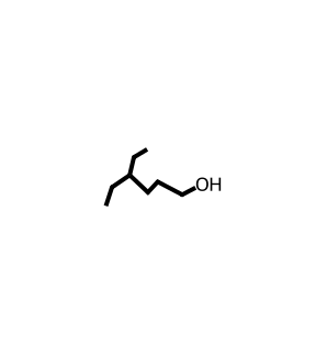 CCC(CC)CCCO